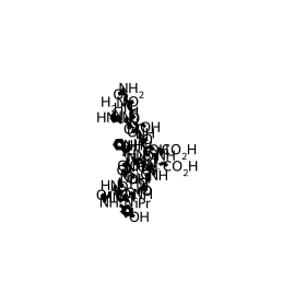 CC(C)[C@H](NC(=O)[C@H](Cc1ccc(O)cc1)NC(=O)[C@H](CCC(N)=O)NC(=O)CNC(=O)[C@H](CO)NC(=O)[C@H](Cc1c[nH]c2ccccc12)NC(=O)[C@@H](NC(=O)[C@@H](NC(=O)[C@H](C)NC(=O)[C@H](CO)NC(=O)[C@H](Cc1c[nH]cn1)NC(=O)[C@H](C)NC(=O)[C@@H](N)CC(N)=O)[C@@H](C)O)[C@@H](C)O)C(=O)NCC(=O)NCC(=O)N[C@@H](C)C(=O)N[C@@H](CCC(=O)O)C(=O)N[C@@H](C)C(=O)O